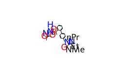 CCCc1nc(CC)c(C(=O)NC)n1Cc1ccc(-c2ccccc2C(C)S(=O)(=O)Nc2noc(C)c2C)cc1